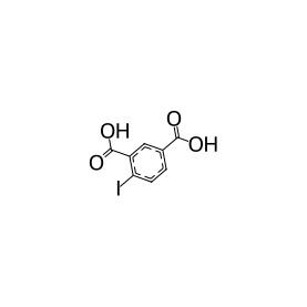 O=C(O)c1ccc(I)c(C(=O)O)c1